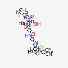 Cc1ncsc1-c1ccc(CNC(=O)[C@@H]2C[C@@H](O)CN2C(=O)[C@@H](NC(=O)c2ccc(C(=O)Nc3ccc(-c4ccc(N5C(=S)N(c6ccc(C#N)c(C(F)(F)F)c6F)C(=O)C5(C)C)cn4)cc3)cc2F)C(C)(C)C)cc1